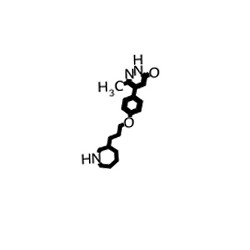 Cc1n[nH]c(=O)cc1-c1ccc(OCCCC2CCCCNC2)cc1